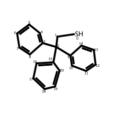 SCC(c1ccccc1)(c1ccccc1)c1ccccc1